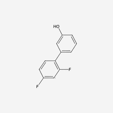 Oc1cccc(-c2ccc(F)[c]c2F)c1